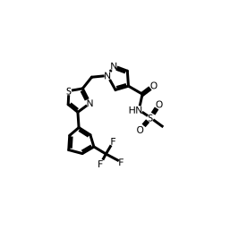 CS(=O)(=O)NC(=O)c1cnn(Cc2nc(-c3cccc(C(F)(F)F)c3)cs2)c1